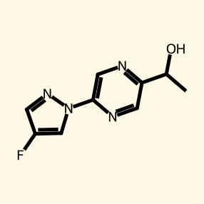 CC(O)c1cnc(-n2cc(F)cn2)cn1